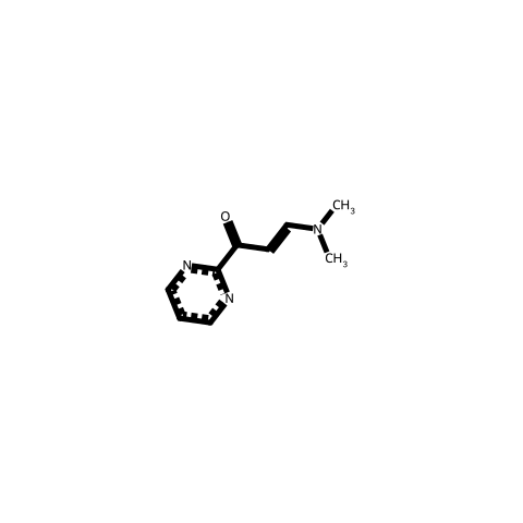 CN(C)C=CC(=O)c1ncccn1